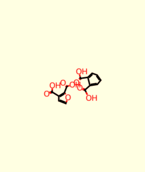 O=C(O)c1ccccc1C(=O)O.O=C(O)c1ccoc1C(=O)O